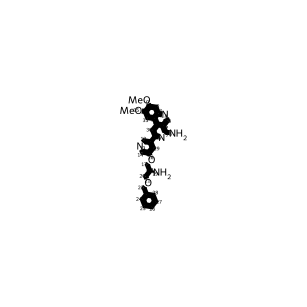 COc1cc2ncc3c(N)nc(-c4cncc(OC[C@@H](N)COCc5ccccc5)c4)cc3c2cc1OC